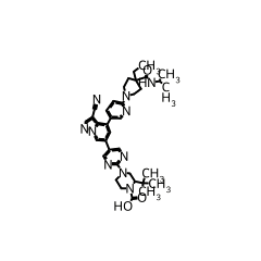 CCC1(C(=O)NC(C)C)CCN(c2ccc(-c3cc(-c4cnc(N5CCN(C(=O)O)C(C(C)(C)C)C5)nc4)cn4ncc(C#N)c34)cn2)CC1